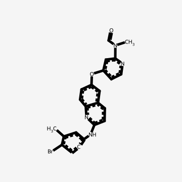 Cc1cc(Nc2ccc3cc(Oc4ccnc(N(C)C=O)c4)ccc3n2)ccc1Br